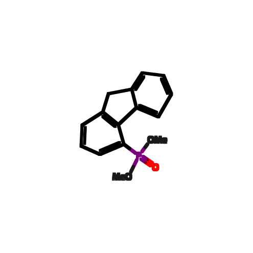 COP(=O)(OC)c1cccc2c1-c1ccccc1C2